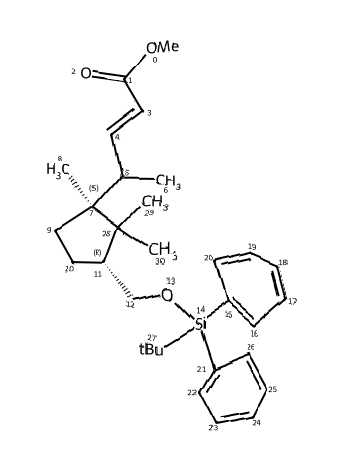 COC(=O)C=CC(C)[C@]1(C)CC[C@@H](CO[Si](c2ccccc2)(c2ccccc2)C(C)(C)C)C1(C)C